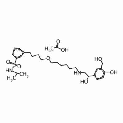 CC(=O)O.CC(C)NS(=O)(=O)c1cccc(CCCCOCCCCCCNC[C@H](O)c2ccc(O)c(CO)c2)c1